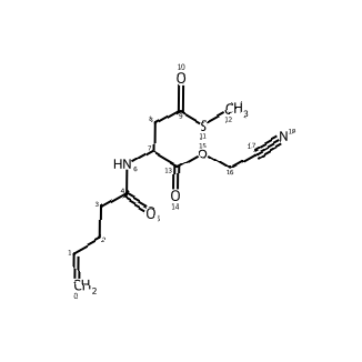 C=CCCC(=O)NC(CC(=O)SC)C(=O)OCC#N